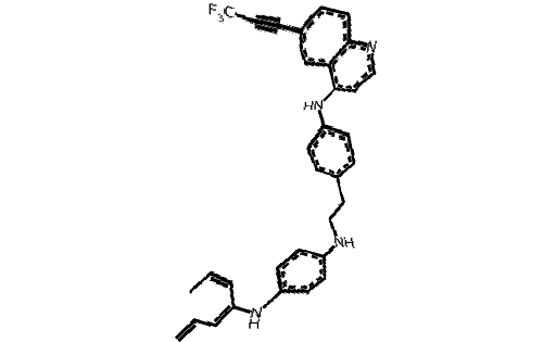 C=C/C=C(\C=C/C)Nc1ccc(NCCc2ccc(Nc3ccnc4ccc(C#CC(F)(F)F)cc34)cc2)cc1